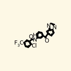 O=C(c1cccc(NC(=O)c2cc(C(F)(F)F)ccc2Cl)c1)c1ccc2nccnc2c1